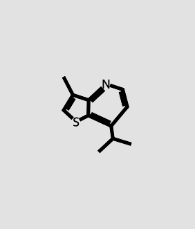 Cc1csc2c(C(C)C)ccnc12